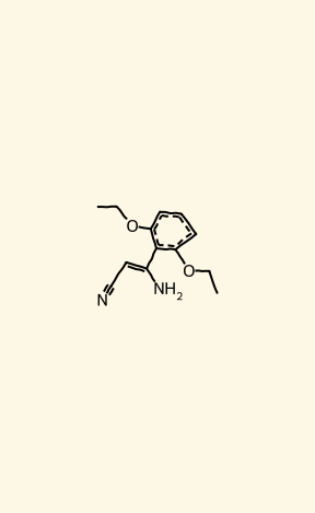 CCOc1cccc(OCC)c1C(N)=CC#N